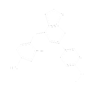 COc1ccc(-c2cc(Oc3ccc(N)cc3F)c3ccnn3c2)cn1